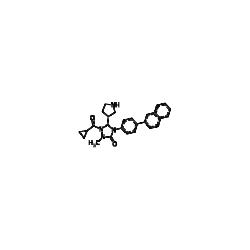 CN1C(=O)N(c2ccc(-c3ccc4ccccc4c3)cc2)C(C2CCNC2)N1C(=O)C1CC1